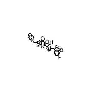 CS(=O)(=O)c1cc(F)ccc1Cc1cnc(-c2nc3sc(CN4CCOCC4)cn3c(=O)c2O)s1